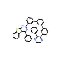 c1ccc(-c2nccnc2-c2cccc(-c3cccc(-c4cccc(-c5nc(-c6ccccc6)c6c(n5)sc5ccccc56)c4)c3)c2)cc1